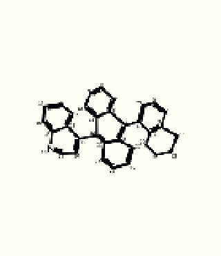 c1cc2c(c(-c3c4ccccc4c(-c4ccnc5ccccc45)c4ccccc34)c1)CCCC2